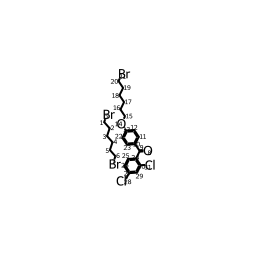 BrCCCCCCBr.O=C(c1ccc(OCCCCCCBr)cc1)c1ccc(Cl)cc1Cl